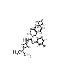 CN(C)[C@H]1C[C@@H](NC(=O)N2CCC3=C(C=CC4(CCC4)C3)[C@@H]2c2ccc(F)cc2)C1